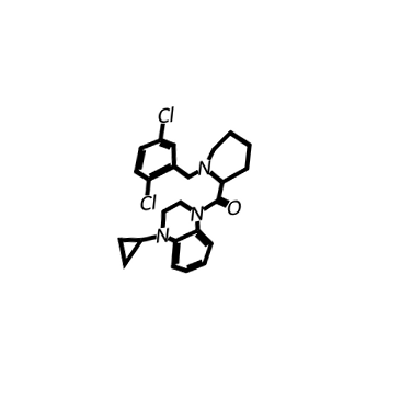 O=C(C1CCCCN1Cc1cc(Cl)ccc1Cl)N1CCN(C2CC2)c2ccccc21